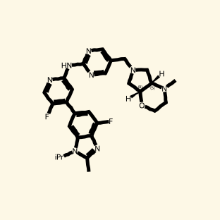 Cc1nc2c(F)cc(-c3cc(Nc4ncc(CN5C[C@H]6OCCN(C)[C@H]6C5)cn4)ncc3F)cc2n1C(C)C